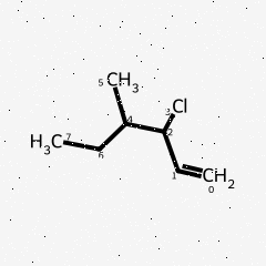 C=CC(Cl)C(C)CC